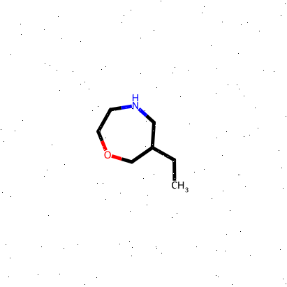 CCC1CNCCOC1